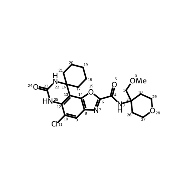 COCC1(NC(=O)c2nc3cc(Cl)c4c(c3o2)C2(CCCCC2)NC(=O)N4)CCOCC1